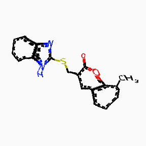 Cc1cccc2cc(CSc3nc4ccccc4[nH]3)c(=O)oc12